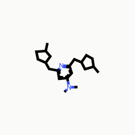 CC1CCC(Cc2cc(N(C)C)cc(CC3CCC(C)C3)n2)C1